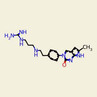 Cc1cc2cn(-c3ccc(CCNCCCNC(=N)N)cc3)c(=O)nc2[nH]1